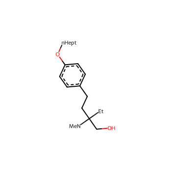 CCCCCCCOc1ccc(CCC(CC)(CO)NC)cc1